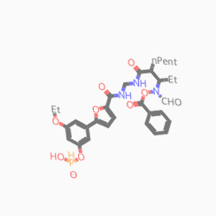 CCCCCC(C(=O)NCNC(=O)c1ccc(-c2cc(OCC)cc(O[PH](=O)O)c2)o1)C(CC)N(C=O)OC(=O)c1ccccc1